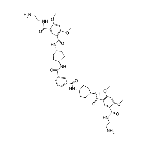 COc1cc(OC)c(C(=O)N[C@H]2CC[C@H](NC(=O)c3cncc(C(=O)N[C@H]4CC[C@H](NC(=O)c5cc(C(=O)NCCN)c(OC)cc5OC)CC4)c3)CC2)cc1C(=O)NCCN